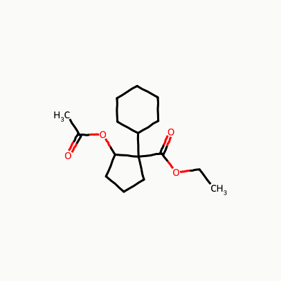 CCOC(=O)C1(C2CCCCC2)CCCC1OC(C)=O